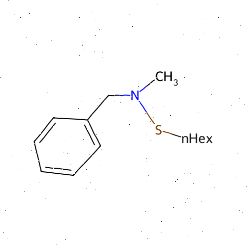 CCCCCCSN(C)Cc1ccccc1